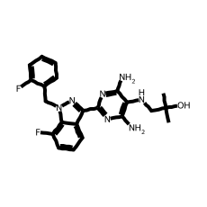 CC(C)(O)CNc1c(N)nc(-c2nn(Cc3ccccc3F)c3c(F)cccc23)nc1N